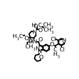 CCOC1(OCC)CCN(C(=O)OC(C)(C)C)CC1NC(=O)c1nn(C2CCCCO2)c2ccc(OC(C)c3c(Cl)cncc3Cl)cc12